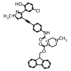 CN1CCN(C(=O)OCC2c3ccccc3-c3ccccc32)[C@H](C(=O)Nc2ccc(C#Cc3cn(C)nc3-c3cc(Cl)ccc3O)cc2)C1